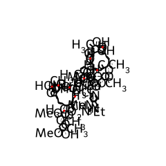 CCN(Cc1ccc(Cl)nc1)/C(=C/[N+](=O)[O-])NC.CC[C@H](C)[C@H]1O[C@]2(C=C[C@@H]1C)C[C@@H]1C[C@@H](C/C=C(\C)[C@@H](O[C@H]3C[C@H](OC)[C@@H](O[C@H]4C[C@H](OC)[C@@H](O)[C@H](C)O4)[C@H](C)O3)[C@@H](C)/C=C/C=C3\CO[C@@H]4[C@H](O)C(C)=C[C@@H](C(=O)O1)[C@]34O)O2.CO[C@H]1C[C@H](O[C@H]2[C@H](C)O[C@@H](O[C@@H]3/C(C)=C/C[C@@H]4C[C@@H](C[C@]5(C=C[C@H](C)[C@@H](C(C)C)O5)O4)OC(=O)[C@@H]4C=C(C)[C@@H](O)[C@H]5OC/C(=C\C=C\[C@@H]3C)[C@]54O)C[C@@H]2OC)O[C@@H](C)[C@@H]1O